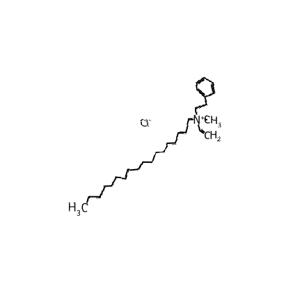 C=C[N+](C)(CCCCCCCCCCCCCCCCCC)CCc1ccccc1.[Cl-]